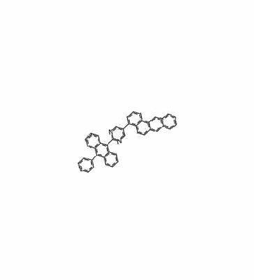 c1ccc(-c2c3ccccc3c(-c3ncc(-c4cccc5c4ccc4cc6ccccc6cc45)cn3)c3ccccc23)cc1